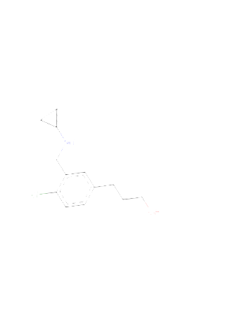 OCCCc1ccc(Cl)c(CNC2CC2)c1